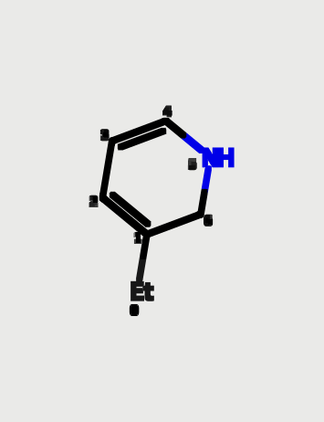 CCC1=CC=CNC1